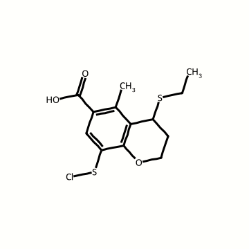 CCSC1CCOc2c(SCl)cc(C(=O)O)c(C)c21